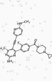 CNc1ccc(C#Cc2c(C)nc(N)nc2-c2ccc(C(=O)N3CCN(C4CC4)CC3)cc2F)cn1